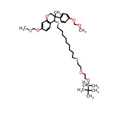 COCOc1ccc(C2(C)COc3cc(OCOC)ccc3C2SCCCCCCCCCSCCOCCO[Si](C)(C)C(C)(C)C)cc1